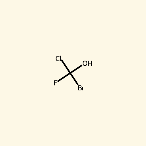 OC(F)(Cl)Br